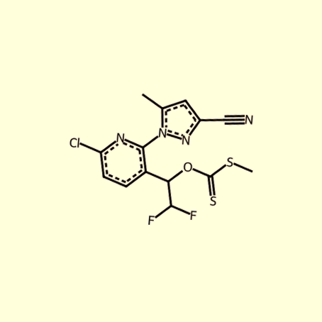 CSC(=S)OC(c1ccc(Cl)nc1-n1nc(C#N)cc1C)C(F)F